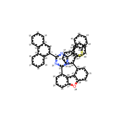 c1ccc(-c2nc(-c3cc4ccccc4c4ccccc34)nc(-c3cccc4oc5cccc(-c6cccc7c6sc6ccccc67)c5c34)n2)cc1